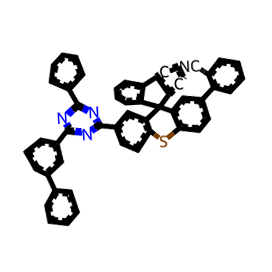 N#Cc1ccccc1-c1ccc2c(c1)C1(c3cc(-c4nc(-c5ccccc5)nc(-c5cccc(-c6ccccc6)c5)n4)ccc3S2)c2ccccc2-c2ccccc21